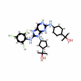 CC(C)(O)C1CCC(Nc2ncc3nc(Nc4c(F)cc(F)cc4F)n([C@H]4CC[C@@H](C(C)(C)O)C4)c3n2)CC1